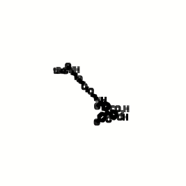 CC(C)(C)OC(=O)NCCCOCCOCCOCCCNC(=O)c1ccc(C(=O)O)c(-c2c3ccc(=O)cc-3oc3cc(O)ccc23)c1